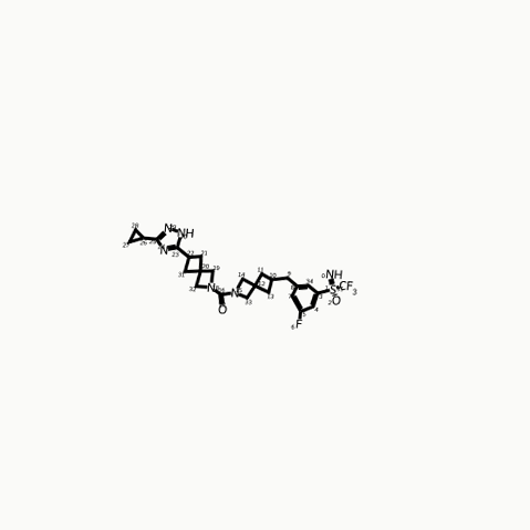 N=S(=O)(c1cc(F)cc(CC2CC3(C2)CN(C(=O)N2CC4(CC(c5nc(C6CC6)n[nH]5)C4)C2)C3)c1)C(F)(F)F